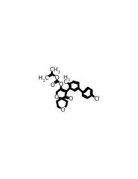 C=C(C)OC(=O)OC1=C(c2cc(-c3ccc(Cl)cc3)ccc2C)C(=O)C2(CCOCC2)OC1